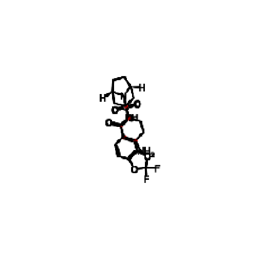 NC1CCN(S(=O)(=O)N2[C@@H]3CC[C@H]2C[C@H](NC(=O)c2ccc4c(c2)OC(F)(F)O4)C3)CC1